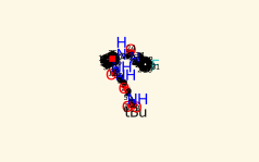 CC(C)(C)OC(=O)NCCOCCNC(=O)NC12CC3CC(CC(NCC(=O)N4Cc5ccc(F)cc5C4)(C3)C1)C2